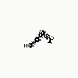 O=C(C1CC1)N1CCN(c2ccnn3cc(-c4ccc(OCC5CCNC5)cc4)cc23)CC1